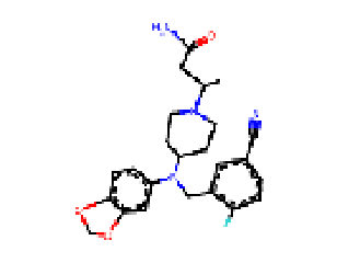 CC(CC(N)=O)N1CCC(N(Cc2cc(C#N)ccc2F)c2ccc3c(c2)OCO3)CC1